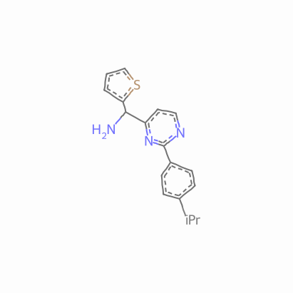 CC(C)c1ccc(-c2nccc(C(N)c3cccs3)n2)cc1